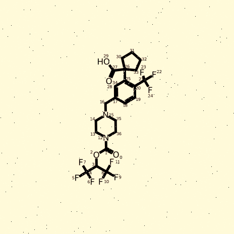 O=C(OC(C(F)(F)F)C(F)(F)F)N1CCN(Cc2ccc(C(F)(F)F)c(C3(C(=O)O)CCCC3)c2)CC1